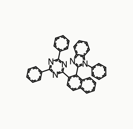 c1ccc(-c2nc(-c3ccccc3)nc(-c3ccc4ccccc4c3-c3nc4ccccc4n3-c3ccccc3)n2)cc1